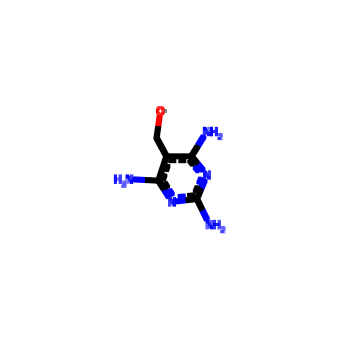 Nc1nc(N)c(C[O])c(N)n1